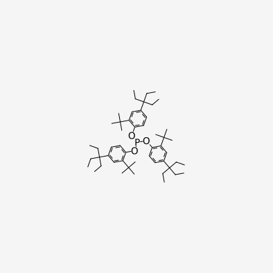 CCC(CC)(CC)c1ccc(OP(Oc2ccc(C(CC)(CC)CC)cc2C(C)(C)C)Oc2ccc(C(CC)(CC)CC)cc2C(C)(C)C)c(C(C)(C)C)c1